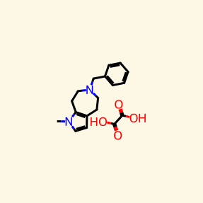 Cn1ccc2c1CCN(Cc1ccccc1)CC2.O=C(O)C(=O)O